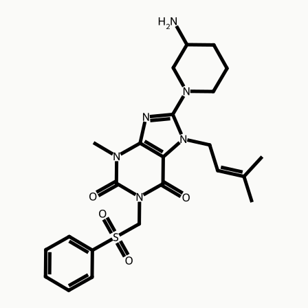 CC(C)=CCn1c(N2CCCC(N)C2)nc2c1c(=O)n(CS(=O)(=O)c1ccccc1)c(=O)n2C